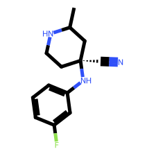 CC1C[C@@](C#N)(Nc2cccc(F)c2)CCN1